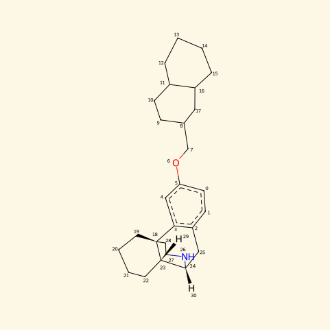 c1cc2c(cc1OCC1CCC3CCCCC3C1)[C@@]13CCCC[C@H]1[C@@H](C2)NCC3